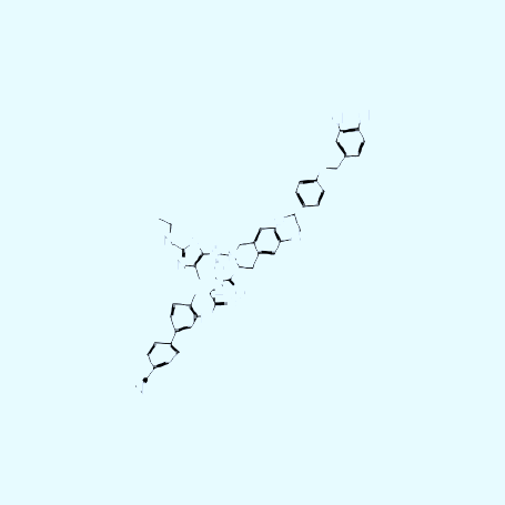 CCNc1nc(C)c(S(=O)(=O)N2Cc3cc4c(cc3C[C@H]2C(=O)N[C@@H](Cc2ccc(-c3ccc(C#N)cc3)cc2)C(=O)O)OC[C@@H](c2ccc(OCc3ccc(Cl)c(Cl)c3)cc2)O4)s1